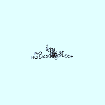 CC(C)c1ccccc1C1CC(C)(O)CCN1C1CC2(CCN(c3ccc(C(=O)NS(=O)(=O)c4ccc(NCC5CCC(C)(O)CC5)c([N+](=O)[O-])c4)c(N4c5cc6cc[nH]c6nc5O[C@H]5COCC[C@@H]54)c3)CC2)C1